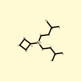 CC(C)CCN(CCC(C)C)C1CCC1